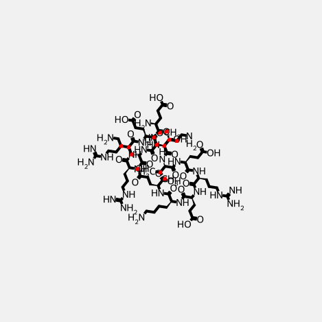 CC(C)[C@H](NC(=O)[C@@H](NC(=O)[C@H](CCC(=O)O)NC(=O)[C@H](CCCNC(=N)N)NC(=O)[C@H](CCCNC(=N)N)NC(=O)[C@H](CCCCN)NC(=O)[C@H](CCCCN)NC(=O)[C@@H](N)CCC(=O)O)[C@@H](C)O)C(=O)N[C@@H](CCC(=O)O)C(=O)N[C@@H](CCCNC(=N)N)C(=O)N[C@@H](CCC(=O)O)C(=O)N[C@@H](CCCCN)C(=O)N[C@@H](CCC(=O)O)C(=O)O